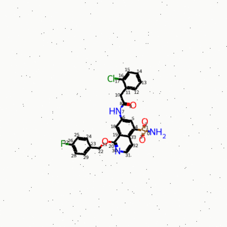 NS(=O)(=O)c1cc(NC(=O)Cc2ccccc2Cl)cc2c(OCc3ccc(F)cc3)nccc12